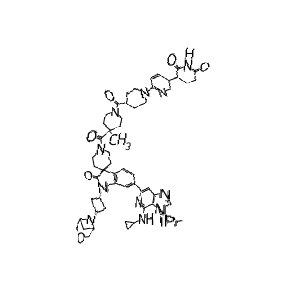 CC(C)n1cnc2cc(-c3ccc4c(c3)N([C@H]3C[C@@H](N5C6COCC5C6)C3)C(=O)C43CCN(C(=O)C4(C)CCN(C(=O)C5CCN(C6=NCC(C7CCC(=O)NC7=O)C=C6)CC5)CC4)CC3)nc(NC3CC3)c21